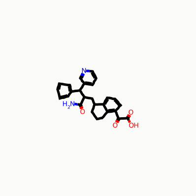 NC(=O)C(CC1CCCc2c(C(=O)C(=O)O)cccc21)C(c1ccccc1)c1cccnc1